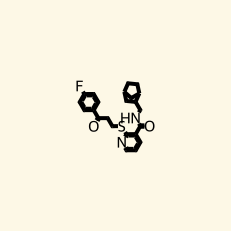 O=C(CCSc1ncccc1C(=O)NCC1CC2CCC1C2)c1ccc(F)cc1